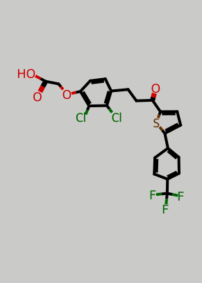 O=C(O)COc1ccc(CCC(=O)c2ccc(-c3ccc(C(F)(F)F)cc3)s2)c(Cl)c1Cl